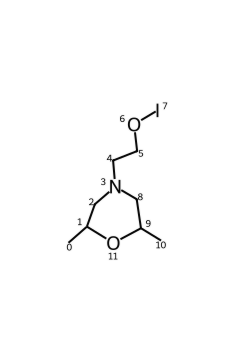 CC1CN(CCOI)CC(C)O1